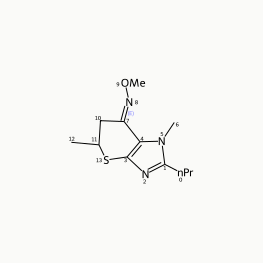 CCCc1nc2c(n1C)/C(=N/OC)CC(C)S2